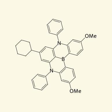 COc1ccc2c(c1)N(c1ccccc1)c1cc(C3CCCCC3)cc3c1B2c1ccc(OC)cc1N3c1ccccc1